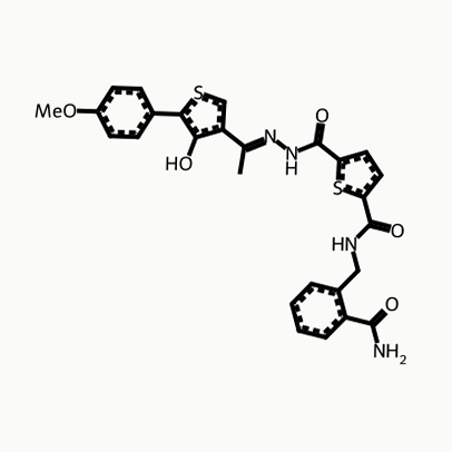 COc1ccc(-c2scc(/C(C)=N/NC(=O)c3ccc(C(=O)NCc4ccccc4C(N)=O)s3)c2O)cc1